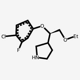 CCOC[C@H](Oc1ccc(Cl)c(F)c1)C1CCNC1